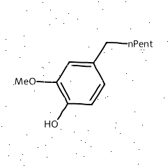 CCCCCCc1ccc(O)c(OC)c1